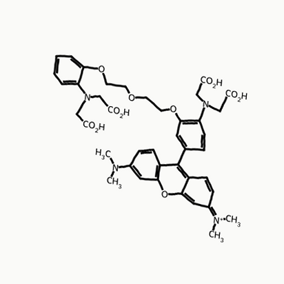 CN(C)c1ccc2c(-c3ccc(N(CC(=O)O)CC(=O)O)c(OCCOCCOc4ccccc4N(CC(=O)O)CC(=O)O)c3)c3ccc(=[N+](C)C)cc-3oc2c1